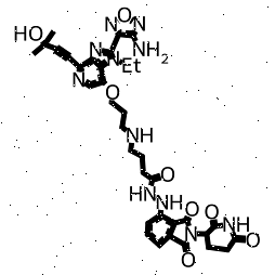 CCn1c(-c2nonc2N)nc2c(C#CC(C)(C)O)ncc(OCCCNCCCC(=O)NNc3cccc4c3C(=O)N(C3CCC(=O)NC3=O)C4=O)c21